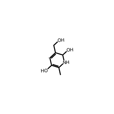 CC1=C(O)[C]=C(CO)C(O)N1